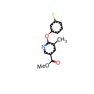 COC(=O)c1cnc(Oc2cccc(F)c2)c(C)c1